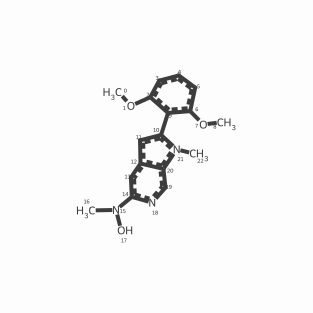 COc1cccc(OC)c1-c1cc2cc(N(C)O)ncc2n1C